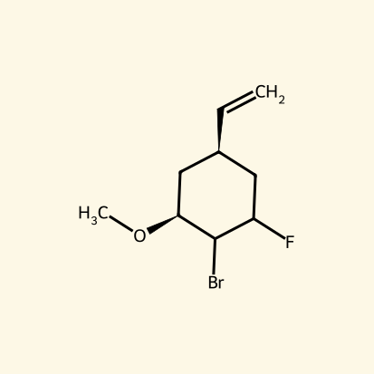 C=C[C@H]1CC(F)C(Br)[C@@H](OC)C1